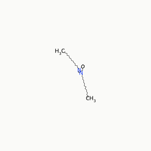 CCCCCCCCCCCCCCCCN1C=CN(CCCCCCCCCCCCCCCC)C1Cc1ccccc1